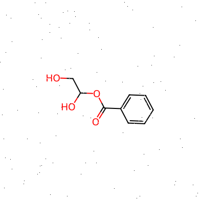 O=C(OC(O)CO)c1ccccc1